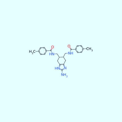 Cc1ccc(C(=O)NCC2Cc3nc(N)[nH]c3CC2CNC(=O)c2ccc(C)cc2)cc1